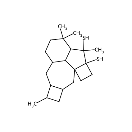 CC1CC2CC34CCC3(S)C(C)(S)C3C4C(CCC3(C)C)CC12